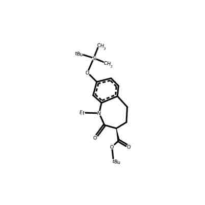 CCN1C(=O)[C@H](C(=O)OC(C)(C)C)CCc2ccc(O[Si](C)(C)C(C)(C)C)cc21